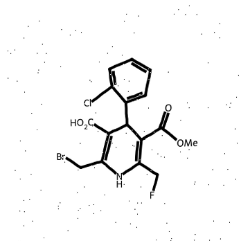 COC(=O)C1=C(CF)NC(CBr)=C(C(=O)O)C1c1ccccc1Cl